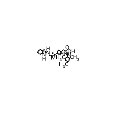 Cc1cc(C)c(C(=O)NC(Cc2ccc(-c3cnc(CNc4nc5ccccc5[nH]4)s3)cc2)C(=O)O)c(C)c1